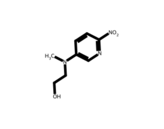 CN(CCO)c1ccc([N+](=O)[O-])nc1